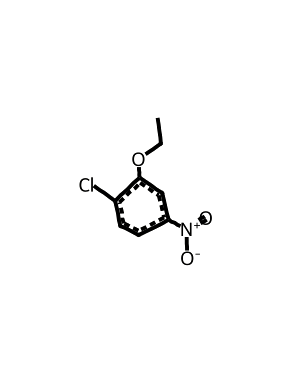 CCOc1cc([N+](=O)[O-])ccc1Cl